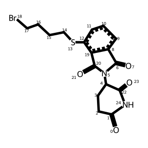 O=C1CCC(N2C(=O)c3cccc(SCCCCBr)c3C2=O)C(=O)N1